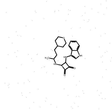 CC(CCC1CCOCC1)NC1C(=O)C(=O)C1Nc1c[nH]c2ccccc12